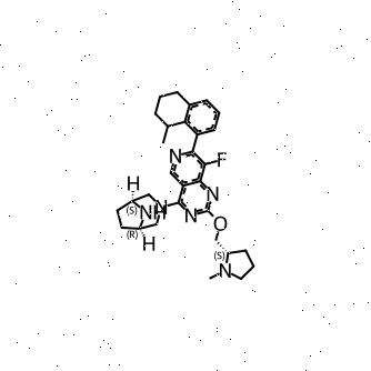 CC1CCCc2cccc(-c3ncc4c(N5C[C@H]6CC[C@@H](C5)N6)nc(OC[C@@H]5CCCN5C)nc4c3F)c21